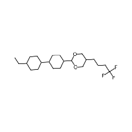 CCC1CCC(C2CCC(C3OCC(CCCC(F)(F)F)CO3)CC2)CC1